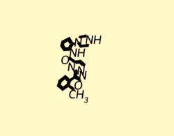 CC(=O)c1ccccc1-c1cnn2ccc(C(=O)Nc3ccccc3N3CCNCC3)nc12